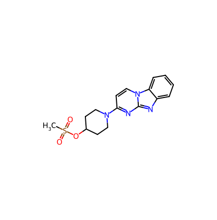 CS(=O)(=O)OC1CCN(c2ccn3c(n2)nc2ccccc23)CC1